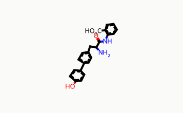 NC(Cc1ccc(-c2ccc(O)cc2)cc1)C(=O)Nc1ccccc1C(=O)O